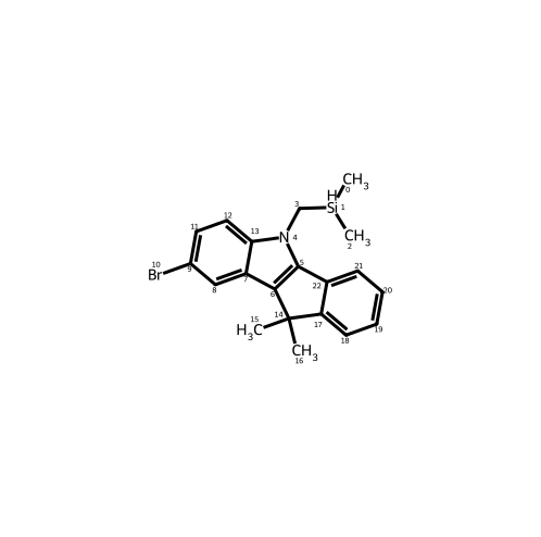 C[SiH](C)Cn1c2c(c3cc(Br)ccc31)C(C)(C)c1ccccc1-2